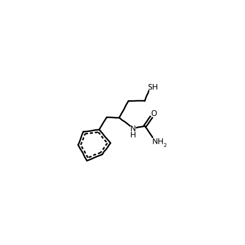 NC(=O)NC(CCS)Cc1ccccc1